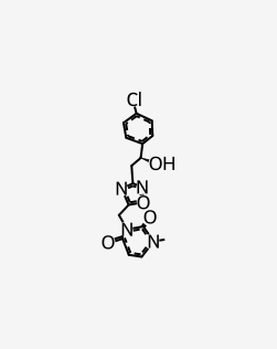 Cn1ccc(=O)n(Cc2nc(C[C@H](O)c3ccc(Cl)cc3)no2)c1=O